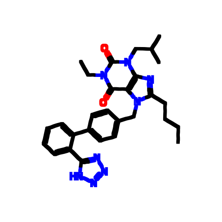 CCCCc1nc2c(c(=O)n(CC)c(=O)n2CC(C)C)n1Cc1ccc(-c2ccccc2-c2nnn[nH]2)cc1